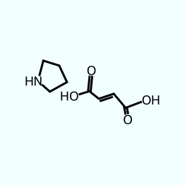 C1CCNC1.O=C(O)C=CC(=O)O